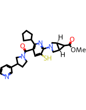 COC(=O)C1[C@H]2CN(c3nc(C4CCCC4)c(C(=O)N4CCC(c5cccnc5)C4)cc3S)C[C@@H]12